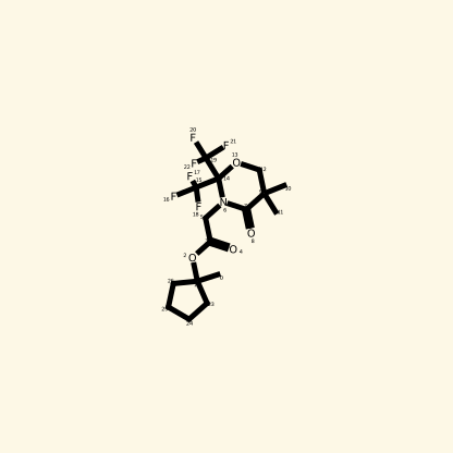 CC1(OC(=O)CN2C(=O)C(C)(C)COC2(C(F)(F)F)C(F)(F)F)CCCC1